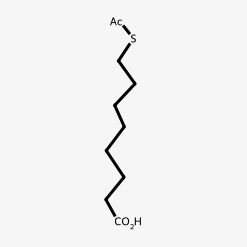 CC(=O)SCCCCCCCC(=O)O